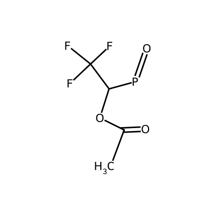 CC(=O)OC(P=O)C(F)(F)F